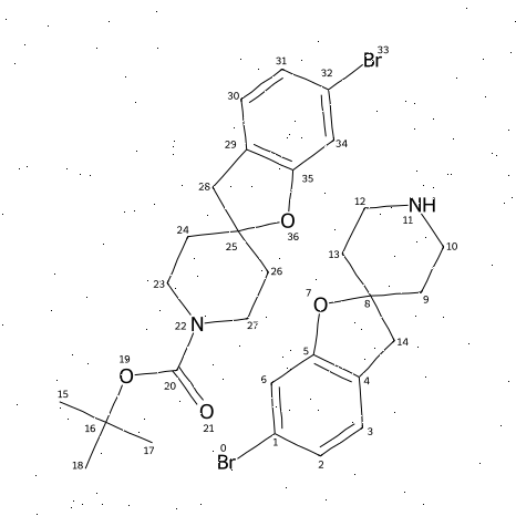 Brc1ccc2c(c1)OC1(CCNCC1)C2.CC(C)(C)OC(=O)N1CCC2(CC1)Cc1ccc(Br)cc1O2